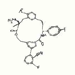 CC1(N)Cc2cc(ccc2F)CCC(c2ccc(F)cc2)NC(=O)c2cc(cc(-c3cccc(F)c3C#N)c2)COC1=O